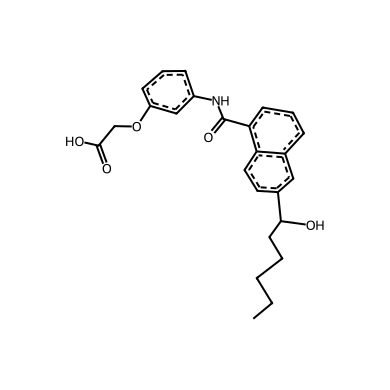 CCCCCC(O)c1ccc2c(C(=O)Nc3cccc(OCC(=O)O)c3)cccc2c1